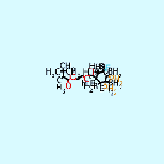 BC1(B)C(B)(F)C(B)(P)C(B)(P)C(B)(B)C1(B)C(=O)OCCOC(=O)C(C)C(C)(C)C